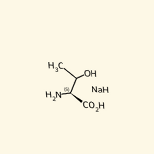 CC(O)[C@H](N)C(=O)O.[NaH]